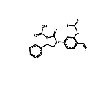 O=Cc1ccc(N2CC(c3ccccc3)N(C(=O)O)C2=O)cc1OC(F)F